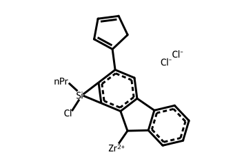 CCC[Si]1(Cl)c2c(C3=CC=CC3)cc3c(c21)[CH]([Zr+2])c1ccccc1-3.[Cl-].[Cl-]